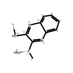 CCCC[P@@](C)c1nc2ccccc2nc1PI